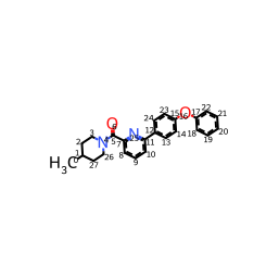 CC1CCN(C(=O)c2cccc(-c3ccc(Oc4ccccc4)cc3)n2)CC1